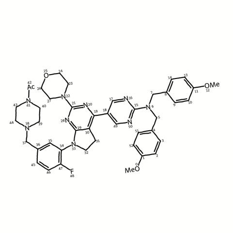 COc1ccc(CN(Cc2ccc(OC)cc2)c2ncc(-c3nc(N4CCOCC4)nc4c3CCN4c3cc(CN4CCN(C(C)=O)CC4)ccc3F)cn2)cc1